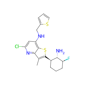 Cc1c([C@@H]2CCC[C@H](F)[C@H]2N)sc2c(NCc3cccs3)cc(Cl)nc12